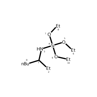 CCCCC(CC)N[Si](OCC)(OCC)OCC